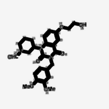 COc1ccc(Cn2c(=O)c3cc(OCCO)ccc3n(C3CCCN(C=O)C3)c2=O)cc1OC